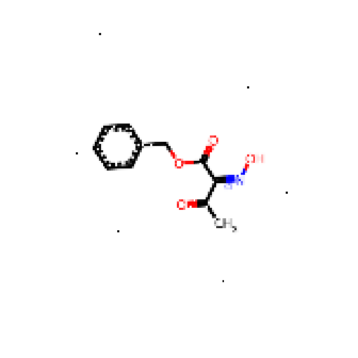 CC(=O)/C(=N/O)C(=O)OCc1ccccc1